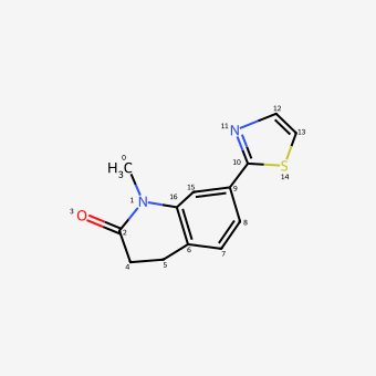 CN1C(=O)CCc2ccc(-c3nccs3)cc21